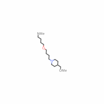 CNCCCCOCCCCN1CCC(COC)CC1